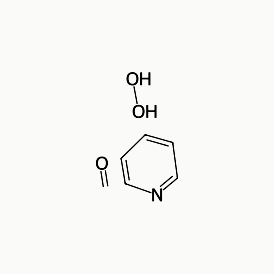 C=O.OO.c1ccncc1